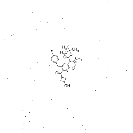 C[C@H]1COc2nc(C(=O)N3CC(O)C3)c(Cc3ccc(F)cc3)cc2N1C(=O)OC(C)(C)C